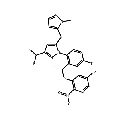 C[C@@H](Oc1cc(Br)cnc1[N+](=O)[O-])c1cc(F)ccc1-n1nc(C(F)F)cc1Cc1ccnn1C